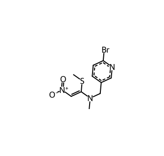 CSC(=C[N+](=O)[O-])N(C)Cc1ccc(Br)nc1